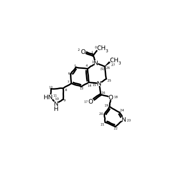 CC(=O)N1c2ccc(C3CNNC3)cc2N(C(=O)Oc2cccnc2)C[C@@H]1C